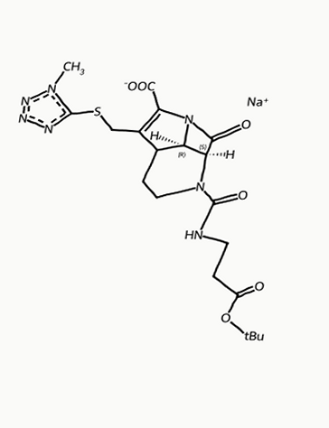 Cn1nnnc1SCC1=C(C(=O)[O-])N2C(=O)[C@@H]3[C@H]2C1CCN3C(=O)NCCC(=O)OC(C)(C)C.[Na+]